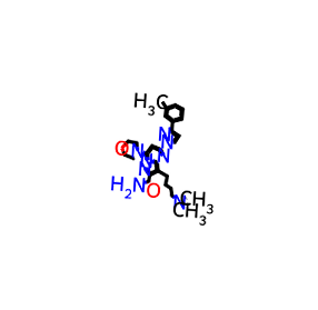 Cc1cccc(-c2ccn(-c3cc(N4CCOCC4)n4nc(C(N)=O)c(CCCCN(C)C)c4n3)n2)c1